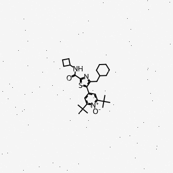 CC(C)(C)c1cc(-c2sc(C(=O)NC3CCC3)nc2CC2CCCCC2)cc(C(C)(C)C)[n+]1[O-]